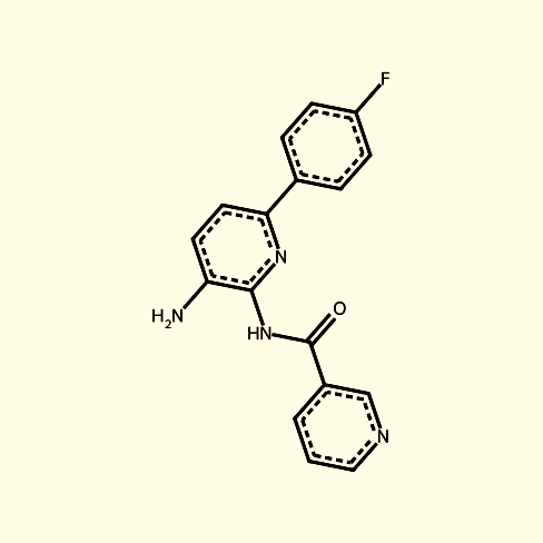 Nc1ccc(-c2ccc(F)cc2)nc1NC(=O)c1cccnc1